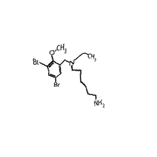 CCN(CCCCCCN)Cc1cc(Br)cc(Br)c1OC